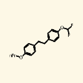 CCCOc1ccc(CCc2ccc(OC(F)F)cc2)cc1